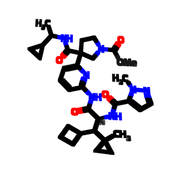 COC(=O)N1CCC(C(=O)NC(C)C2CC2)(c2cccc(NC(=O)[C@@H](NC(=O)c3ccnn3C)C(C3CCC3)C3(C)CC3)n2)C1